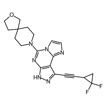 FC1(F)CC1C#Cc1n[nH]c2nc(N3CCC4(CCOC4)CC3)n3ccnc3c12